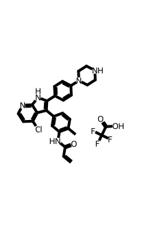 C=CC(=O)Nc1cc(-c2c(-c3ccc(N4CCNCC4)cc3)[nH]c3nccc(Cl)c23)ccc1C.O=C(O)C(F)(F)F